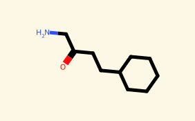 NCC(=O)CCC1CCCCC1